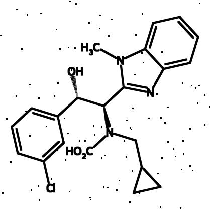 Cn1c([C@H]([C@@H](O)c2cccc(Cl)c2)N(CC2CC2)C(=O)O)nc2ccccc21